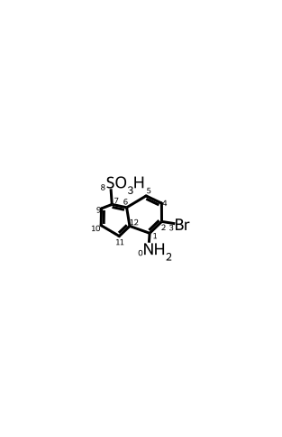 Nc1c(Br)ccc2c(S(=O)(=O)O)cccc12